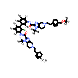 [2H]c1c([2H])c(NC(=O)c2nc3c(n2C([2H])([2H])[2H])CCN(CCC24CCC(COC([2H])([2H])[2H])(CC2)C4)C3)c(C)c(-c2c([2H])c([2H])c([2H])c(NC(=O)c3nc4c(n3C([2H])([2H])[2H])CCN(CCC35CCC(C(=O)O)(CC3)C5)C4)c2Cl)c1[2H]